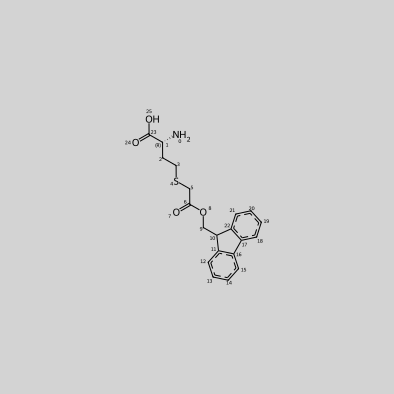 N[C@H](CCSCC(=O)OCC1c2ccccc2-c2ccccc21)C(=O)O